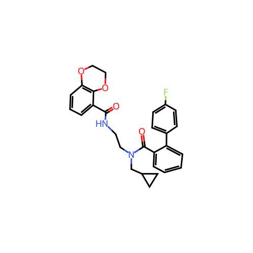 O=C(NCCN(CC1CC1)C(=O)c1ccccc1-c1ccc(F)cc1)c1cccc2c1OCCO2